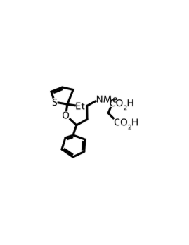 CCC1(OC(CCNC)c2ccccc2)CC=CS1.O=C(O)CC(=O)O